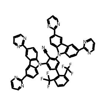 N#Cc1c(-n2c3ccc(-c4ncccn4)cc3c3cc(-c4ncccn4)ccc32)cc(-c2c(C(F)(F)F)cccc2C(F)(F)F)cc1-n1c2ccc(-c3ncccn3)cc2c2cc(-c3ncccn3)ccc21